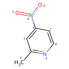 Cc1cc([N+](=O)[O-])[c]cn1